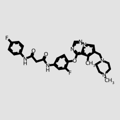 Cc1c(CN2CCN(C)CC2)cn2ncnc(Oc3ccc(NC(=O)CC(=O)Nc4ccc(F)cc4)cc3F)c12